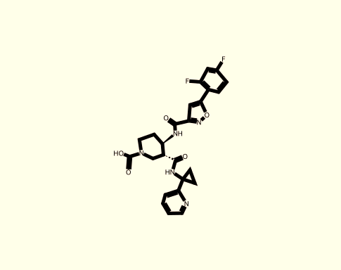 O=C(N[C@@H]1CCN(C(=O)O)C[C@H]1C(=O)NC1(c2ccccn2)CC1)c1cc(-c2ccc(F)cc2F)on1